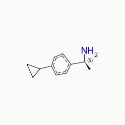 C[C@H](N)c1ccc(C2CC2)cc1